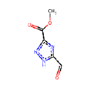 COC(=O)c1n[nH]c(C=O)n1